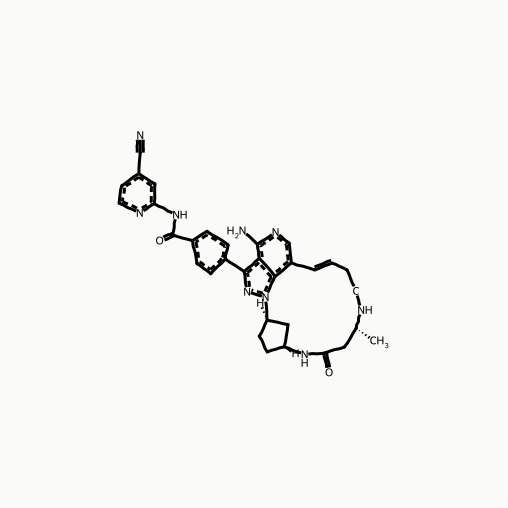 C[C@@H]1CC(=O)N[C@@H]2CC[C@H](C2)n2nc(-c3ccc(C(=O)Nc4cc(C#N)ccn4)cc3)c3c(N)ncc(c32)/C=C/CCN1